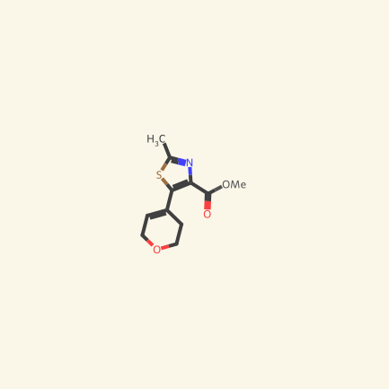 COC(=O)c1nc(C)sc1C1=CCOCC1